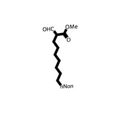 CCCCCCCCCCCCCCCCC(C=O)C(=O)OC